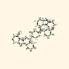 Clc1cccc2oc3c4ccccc4c(-c4ccc(N(c5ccccc5)c5cccc6sc7ccccc7c56)cc4)cc3c12